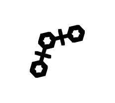 CC(C)(c1ccccc1)c1cccc(C(C)(C)c2ccccc2)c1